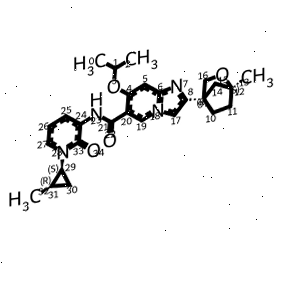 CC(C)Oc1cc2nc([C@@]34CC[C@@](C)(C3)OC4)cn2cc1C(=O)Nc1cccn([C@H]2C[C@H]2C)c1=O